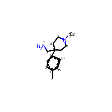 Cc1ccc(C2(CN)CCN(C(C)(C)C)CC2)cc1